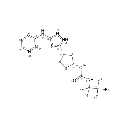 O=C(NC1(C(F)(F)F)CC1)O[C@@H]1CC[C@H](c2cc(Nc3cccnn3)n[nH]2)C1